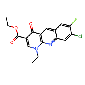 CCOC(=O)c1cn(CC)c2nc3cc(Cl)c(F)cc3cc2c1=O